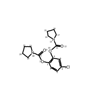 O=C(Oc1ccc(Cl)cc1OC(=O)N1CCCC1)N1CCCC1